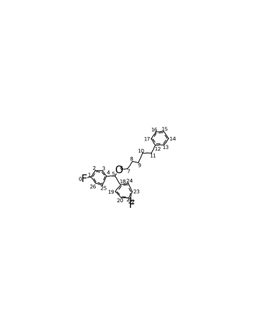 Fc1ccc(C(OCCCCCc2ccccc2)c2ccc(F)cc2)cc1